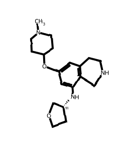 CN1CCC(Oc2cc3c(c(N[C@@H]4CCOC4)c2)CNCC3)CC1